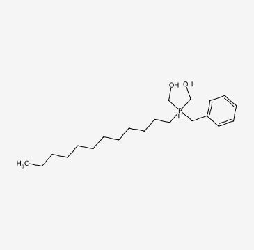 CCCCCCCCCCCC[PH](CO)(CO)Cc1ccccc1